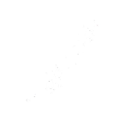 C/C=C/CCc1ccc(-c2ccc(CCC3CCC(C4CC=C(c5ccc(C6CO6)c(F)c5F)CC4)CC3)c(F)c2F)c(F)c1F